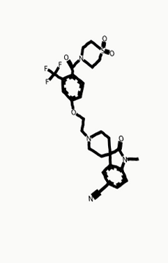 CN1C(=O)C2(CCN(CCOc3ccc(C(=O)N4CCS(=O)(=O)CC4)c(C(F)(F)F)c3)CC2)c2cc(C#N)ccc21